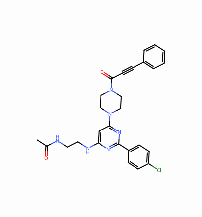 CC(=O)NCCNc1cc(N2CCN(C(=O)C#Cc3ccccc3)CC2)nc(-c2ccc(Cl)cc2)n1